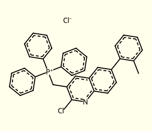 Cc1ccccc1-c1ccc2nc(Cl)c(C[P+](c3ccccc3)(c3ccccc3)c3ccccc3)cc2c1.[Cl-]